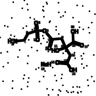 NCCS(=O)(=O)OC(=O)CC(O)(CC(=O)O)C(=O)O.[NaH]